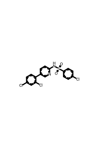 O=S(=O)(Nc1ccc(-c2ccc(Cl)cc2Cl)cn1)c1ccc(Cl)cc1